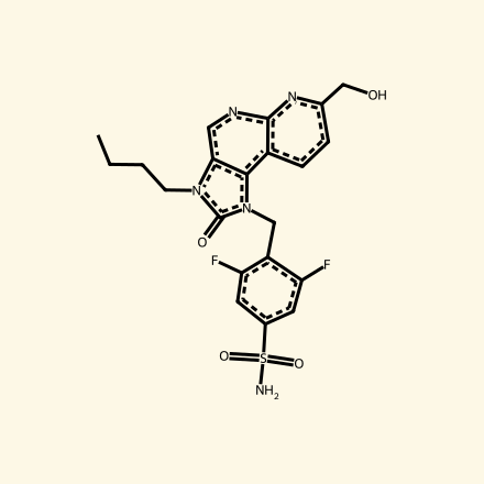 CCCCn1c(=O)n(Cc2c(F)cc(S(N)(=O)=O)cc2F)c2c3ccc(CO)nc3ncc21